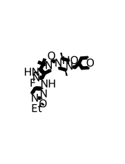 CCOc1ncc(F)c(Nc2n[nH]c3c2CN(C(=O)N2C[C@H](C)N(CC4(O)CCOCC4)C[C@@H]2C)C3(C)C)n1